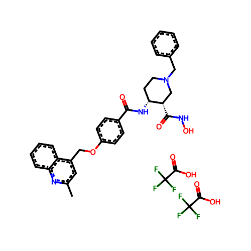 Cc1cc(COc2ccc(C(=O)N[C@@H]3CCN(Cc4ccccc4)C[C@@H]3C(=O)NO)cc2)c2ccccc2n1.O=C(O)C(F)(F)F.O=C(O)C(F)(F)F